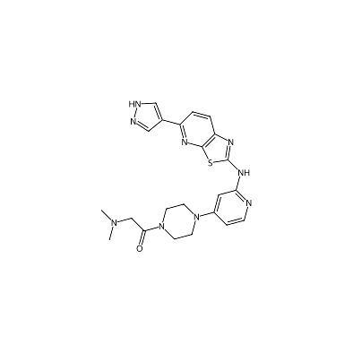 CN(C)CC(=O)N1CCN(c2ccnc(Nc3nc4ccc(-c5cn[nH]c5)nc4s3)c2)CC1